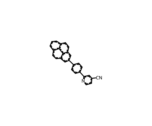 N#Cc1ccnc(-c2ccc(-c3cc4ccc5cccc6ccc(c3)c4c56)cc2)c1